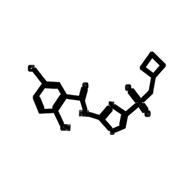 O=C(Nc1nc(S(=O)(=O)CC2CCC2)cs1)c1cc(Cl)ccc1O